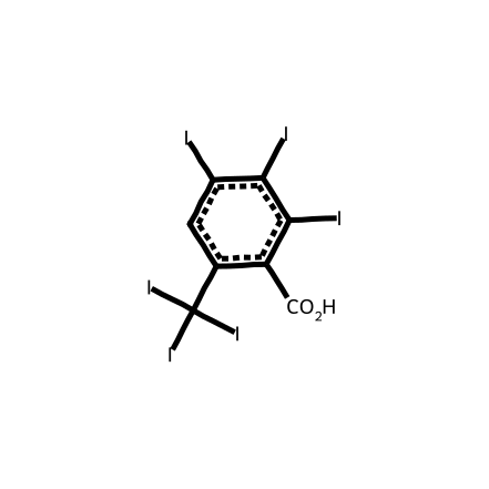 O=C(O)c1c(C(I)(I)I)cc(I)c(I)c1I